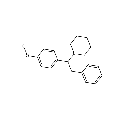 COc1ccc(C(Cc2ccccc2)N2CCCCC2)cc1